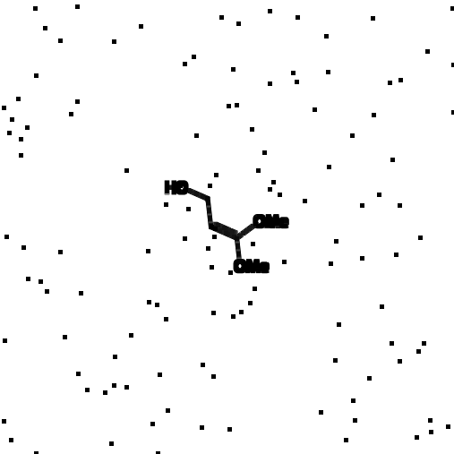 COC(=CCO)OC